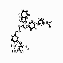 CC(C)(Oc1cccc(CCCN(Cc2ccc(-c3noc(C4CC4)n3)cc2)c2nc3ccccc3o2)c1)C(=O)O